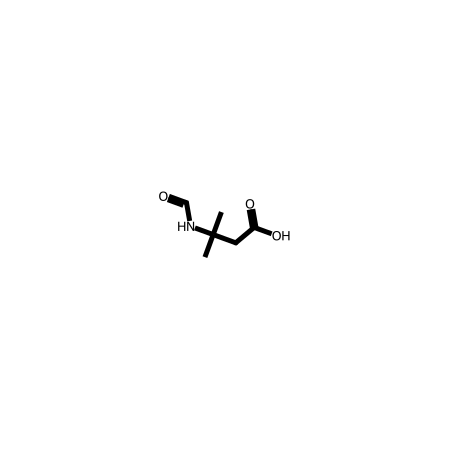 CC(C)(CC(=O)O)NC=O